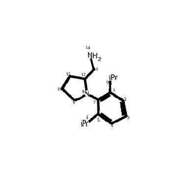 CC(C)c1cccc(C(C)C)c1N1CCCC1CN